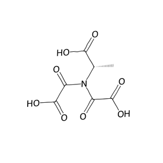 C[C@@H](C(=O)O)N(C(=O)C(=O)O)C(=O)C(=O)O